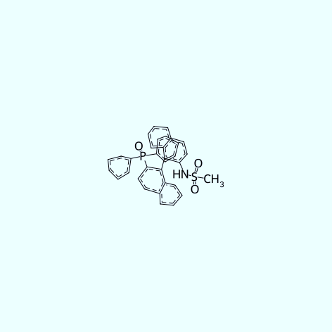 CS(=O)(=O)Nc1ccc2ccccc2c1-c1c(P(=O)(c2ccccc2)c2ccccc2)ccc2ccccc12